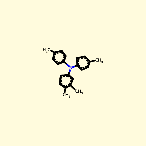 Cc1ccc(N(c2ccc(C)cc2)c2ccc(C)c(C)c2)cc1